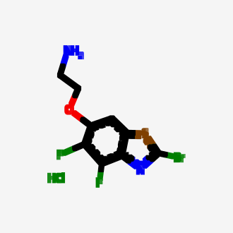 Cl.NCCOc1cc2sc(Br)nc2c(F)c1F